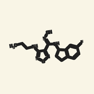 CCCNc1nonc1/C(=N/O)NC1CCc2ccc(F)cc21